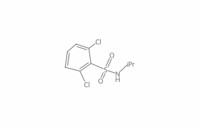 CC(C)NS(=O)(=O)c1c(Cl)cccc1Cl